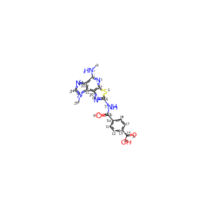 CNc1nc2sc(NC(=O)c3ccc(C(=O)O)cc3)nc2c2c1ncn2C